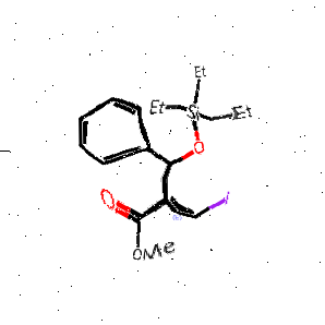 CC[Si](CC)(CC)OC(/C(=C\I)C(=O)OC)c1ccccc1